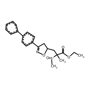 CCOC(=O)C(C)(CC1CC(c2ccc(-c3ccccc3)cc2)=NO1)[S+](C)[O-]